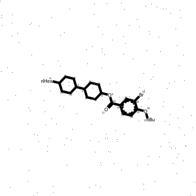 CCCCCCC1CCC(C2CCC(OC(=O)c3ccc(OCCCC)c(Br)c3)CC2)CC1